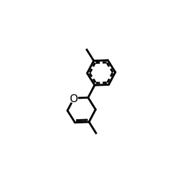 CC1=CCOC(c2cccc(C)c2)C1